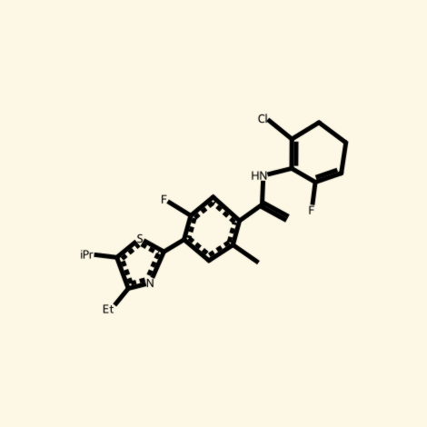 C=C(NC1=C(Cl)CCC=C1F)c1cc(F)c(-c2nc(CC)c(C(C)C)s2)cc1C